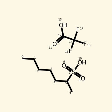 CCCCCC(C)S(=O)(=O)O.O=C(O)C(F)(F)F